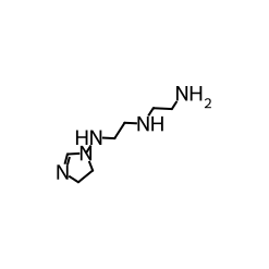 NCCNCCNN1C=NCC1